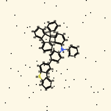 c1ccc(N(c2ccc(-c3ccc4sc5ccccc5c4c3)cc2)c2cccc(C3(c4ccccc4)c4ccccc4-c4ccccc43)c2)cc1